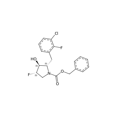 O=C(OCc1ccccc1)N1C[C@H](F)[C@@H](O)[C@@H]1Cc1cccc(Cl)c1F